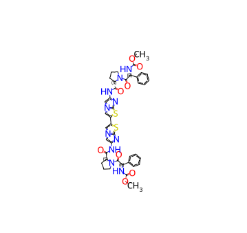 COC(=O)N[C@@H](C(=O)N1CCC[C@H]1C(=O)Nc1cn2cc(-c3cn4cc(NC(=O)[C@@H]5CCCN5C(=O)[C@H](NC(=O)OC)c5ccccc5)nc4s3)sc2n1)c1ccccc1